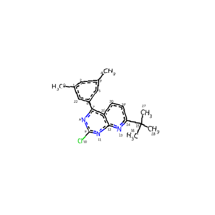 Cc1cc(C)cc(-c2nc(Cl)nc3nc(C(C)(C)C)ccc23)c1